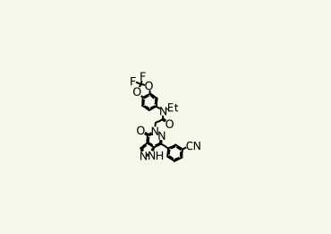 CCN(C(=O)Cn1nc(-c2cccc(C#N)c2)c2[nH]ncc2c1=O)c1ccc2c(c1)OC(F)(F)O2